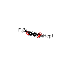 CCCCCCC[C@H]1CO[C@H](c2ccc(-c3ccc(OCCCC(F)(F)F)cc3)cc2)CO1